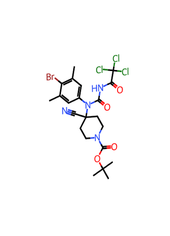 Cc1cc(N(C(=O)NC(=O)C(Cl)(Cl)Cl)C2(C#N)CCN(C(=O)OC(C)(C)C)CC2)cc(C)c1Br